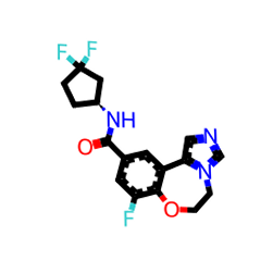 O=C(N[C@@H]1CCC(F)(F)C1)c1cc(F)c2c(c1)-c1cncn1CCO2